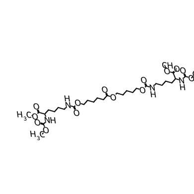 COC(=O)NC(CCCCNC(=O)OCCCCCOC(=O)CCCCCOC(=O)NCCCCC(NC(=O)OC)C(=O)OC)C(=O)OC